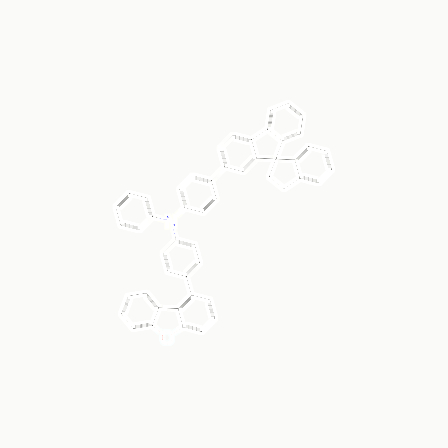 c1ccc(N(c2ccc(-c3ccc4c(c3)C3(CCc5ccccc53)c3ccccc3-4)cc2)c2ccc(-c3cccc4oc5ccccc5c34)cc2)cc1